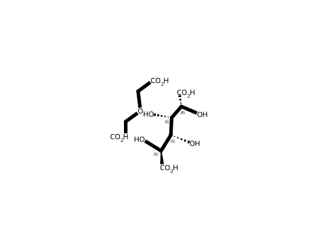 O=C(O)COCC(=O)O.O=C(O)[C@@H](O)[C@@H](O)[C@H](O)[C@@H](O)C(=O)O